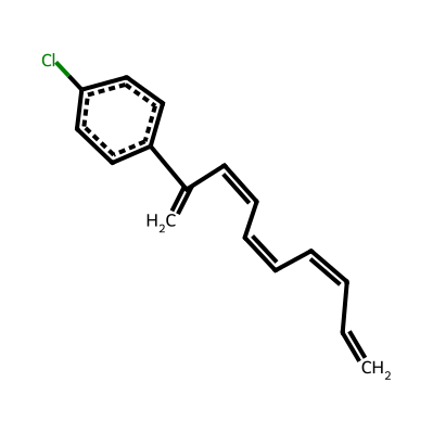 C=C\C=C/C=C\C=C/C(=C)c1ccc(Cl)cc1